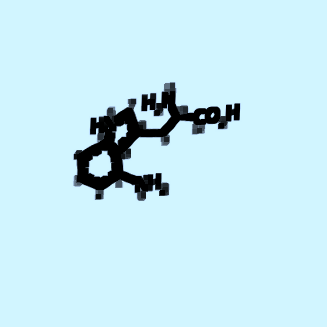 Nc1cccc2[nH]cc(C[C@@H](N)C(=O)O)c12